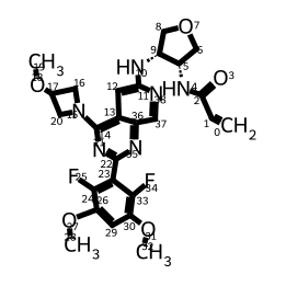 C=CC(=O)N[C@H]1COC[C@H]1Nc1cc2c(N3CC(OC)C3)nc(-c3c(F)c(OC)cc(OC)c3F)nc2cn1